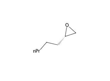 CCCCC[C@H]1CO1